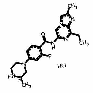 CCc1nc(NC(=O)c2ccc(N3CCN[C@H](C)C3)cc2F)cn2cc(C)nc12.Cl